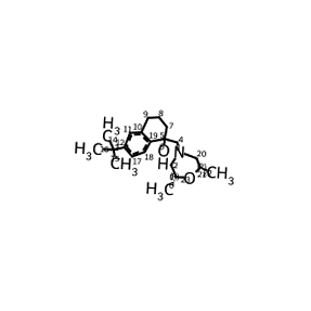 C[C@@H]1CN(CC2(O)CCCc3cc(C(C)(C)C)ccc32)C[C@@H](C)O1